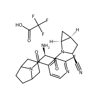 N#C[C@@H]1C[C@@H]2C[C@@H]2N1C(=O)[C@H](N)C1CC2CCC(C1)N2C(=O)c1ccnc(F)c1.O=C(O)C(F)(F)F